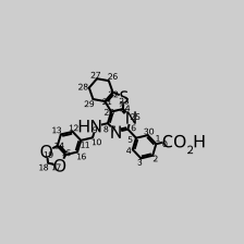 O=C(O)c1cccc(-c2nc(NCc3ccc4c(c3)OCO4)c3c4c(sc3n2)CCCC4)c1